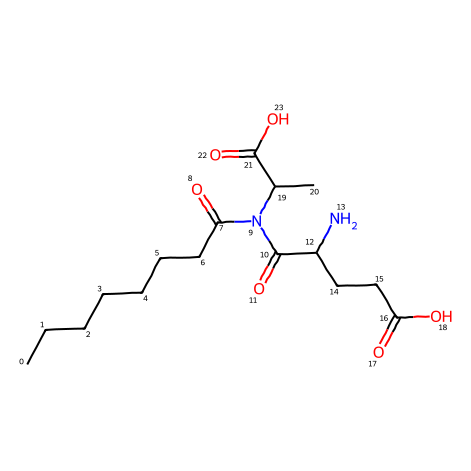 CCCCCCCC(=O)N(C(=O)C(N)CCC(=O)O)C(C)C(=O)O